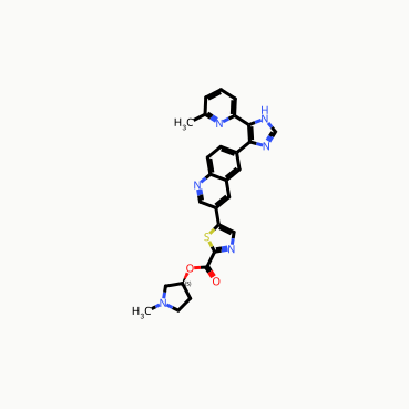 Cc1cccc(-c2[nH]cnc2-c2ccc3ncc(-c4cnc(C(=O)O[C@H]5CCN(C)C5)s4)cc3c2)n1